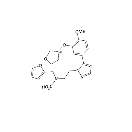 COc1ccc(-c2ccnn2CCN(Cc2ccco2)C(=O)O)cc1O[C@@H]1CCOC1